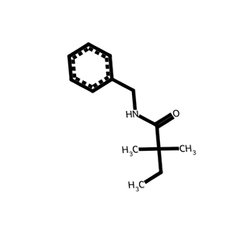 CCC(C)(C)C(=O)NCc1ccccc1